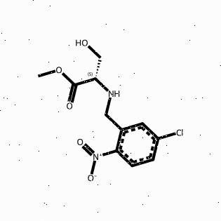 COC(=O)[C@H](CO)NCc1cc(Cl)ccc1[N+](=O)[O-]